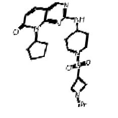 CC(C)N1CC(S(=O)(=O)N2CCC(Nc3ncc4ccc(=O)n(C5CCCC5)c4n3)CC2)C1